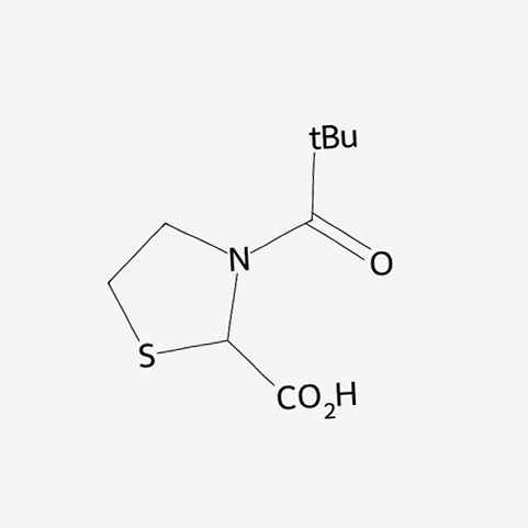 CC(C)(C)C(=O)N1CCSC1C(=O)O